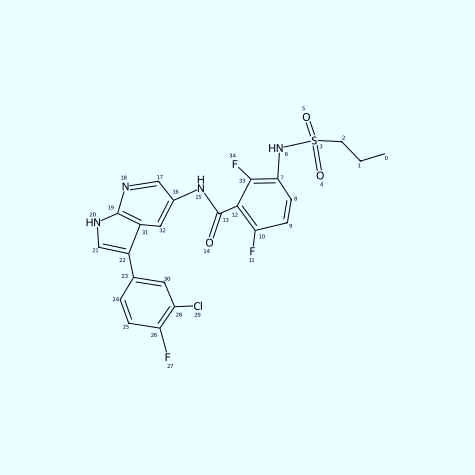 CCCS(=O)(=O)Nc1ccc(F)c(C(=O)Nc2cnc3[nH]cc(-c4ccc(F)c(Cl)c4)c3c2)c1F